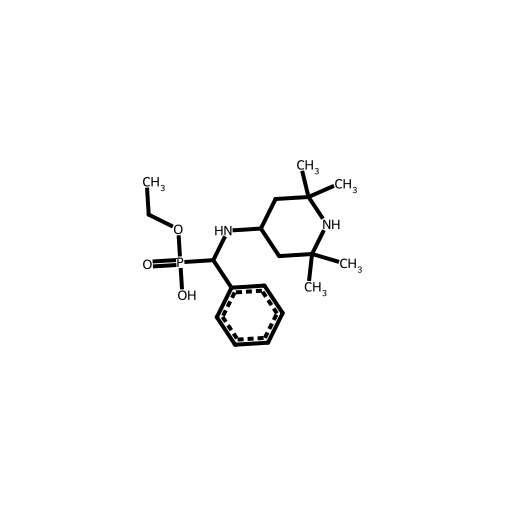 CCOP(=O)(O)C(NC1CC(C)(C)NC(C)(C)C1)c1ccccc1